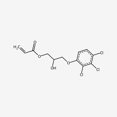 C=CC(=O)OCC(O)COc1ccc(Cl)c(Cl)c1Cl